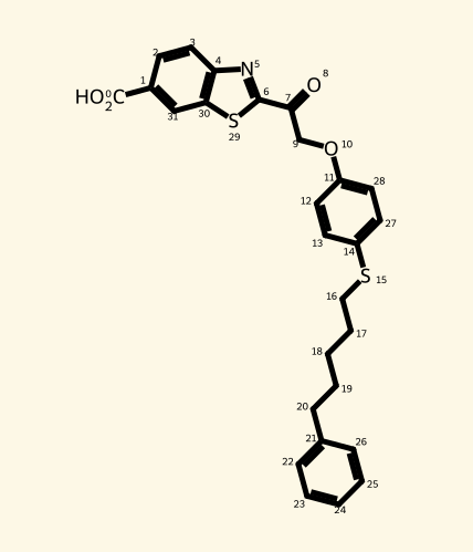 O=C(O)c1ccc2nc(C(=O)COc3ccc(SCCCCCc4ccccc4)cc3)sc2c1